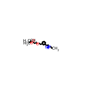 C=CCn1cc(-c2cccc(CCOCCC(=O)OC(C)(C)C)c2)nn1